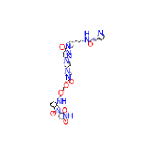 O=C(/C=C/c1cccnc1)NCCCCC1CCN(C(=O)c2ccc(N3CCC(N4CCN(C(=O)COCCOCCNc5cccc6c5CN(C5CCC(=O)NC5=O)C6=O)CC4)CC3)nn2)CC1